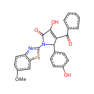 COc1ccc2nc(N3C(=O)C(O)=C(C(=O)c4ccccc4)C3c3ccc(O)cc3)sc2c1